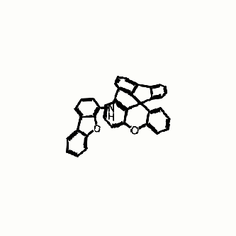 c1ccc2c(c1)Oc1ccccc1C21c2ccccc2-c2cccc(Nc3cccc4c3oc3ccccc34)c21